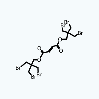 O=C(C=CC(=O)OCC(CBr)(CBr)CBr)OCC(CBr)(CBr)CBr